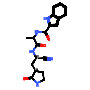 CC(NC(=O)c1cc2ccccc2[nH]1)C(=O)N[C@H](C#N)C[C@@H]1CCNC1=O